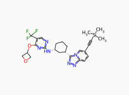 C[Si](C)(C)C#Cc1ccc2nnc([C@H]3CCC[C@@H](Nc4ncc(C(F)(F)F)c(OC5COC5)n4)C3)n2c1